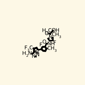 Cc1ccc(-c2cc(C(F)(F)F)c3c(N)ncnn23)c(F)c1C(=O)N[C@@H]1CN(C(=O)C(C)(C)O)C[C@@H]1F